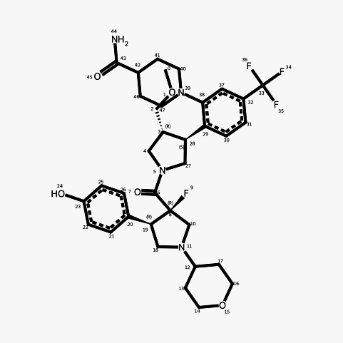 COC[C@H]1CN(C(=O)[C@]2(F)CN(C3CCOCC3)C[C@H]2c2ccc(O)cc2)C[C@@H]1c1ccc(C(F)(F)F)cc1N1CCC(C(N)=O)CC1